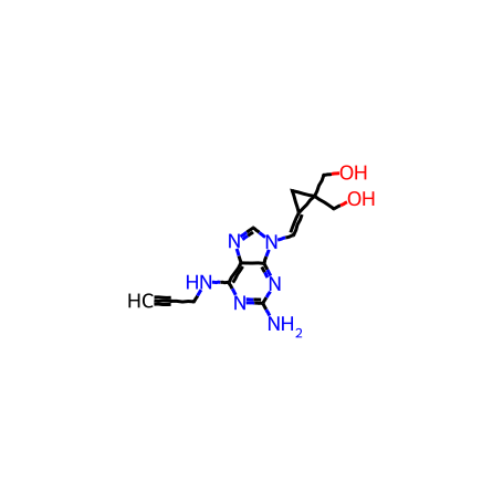 C#CCNc1nc(N)nc2c1ncn2C=C1CC1(CO)CO